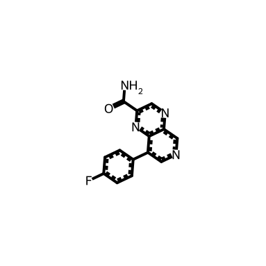 NC(=O)c1cnc2cncc(-c3ccc(F)cc3)c2n1